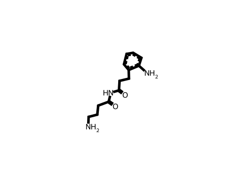 NCCCC(=O)NC(=O)CCc1ccccc1N